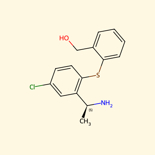 C[C@H](N)c1cc(Cl)ccc1Sc1ccccc1CO